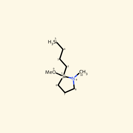 CO[Si]1(CCC[SiH3])CCCN1C